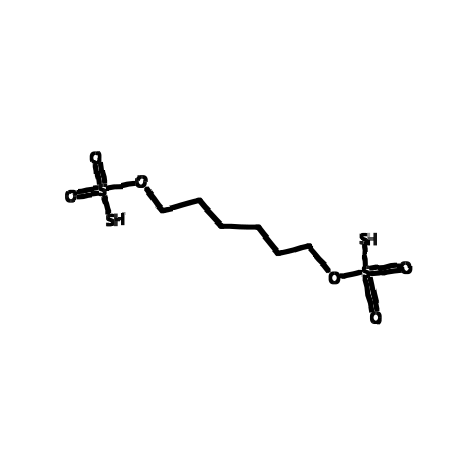 O=S(=O)(S)OCCCCCCOS(=O)(=O)S